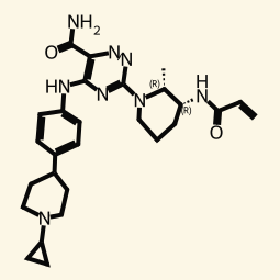 C=CC(=O)N[C@@H]1CCCN(c2nnc(C(N)=O)c(Nc3ccc(C4CCN(C5CC5)CC4)cc3)n2)[C@@H]1C